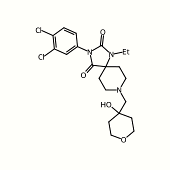 CCN1C(=O)N(c2ccc(Cl)c(Cl)c2)C(=O)C12CCN(CC1(O)CCOCC1)CC2